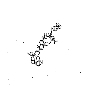 C=C(C)[C@@H]1CC[C@]2(NCCN3CCS(=O)(=O)CC3)CC[C@@H](C)[C@]3(C)CCC4C(C)(C)C(C5=CC[C@](COc6ncccc6Cl)(C(=O)OCC)CC5)=CC[C@]4(C)C3CCCC12